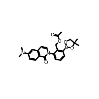 CC(=O)OCc1c(B2OCC(C)(C)O2)cccc1-n1ccc2cc(N(C)C)ccc2c1=O